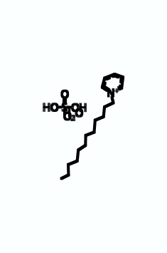 CCCCCCCCCCCC[n+]1ccccc1.O.O=S(=O)(O)O